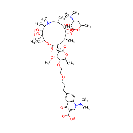 CC[C@H]1OC(=O)[C@H](C)[C@@H](O[C@H]2C[C@@H](OC)[C@@H](OCCOCCCc3ccc4c(c3)c(=O)c(C(=O)O)cn4N(C)C)[C@H](C)O2)[C@H](C)[C@@H](O[C@@H]2O[C@H](C)C[C@H](N(C)C)[C@H]2O)[C@](C)(O)C[C@@H](C)CN(C)[C@H](C)[C@@H](O)[C@]1(C)O